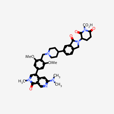 COc1cc(-c2cn(C)c(=O)c3cnc(N(C)C)cc23)cc(OC)c1CN1CCC(c2ccc3c(c2)C(=O)N(C2CCC(=O)N(C(=O)O)C2=O)C3)CC1